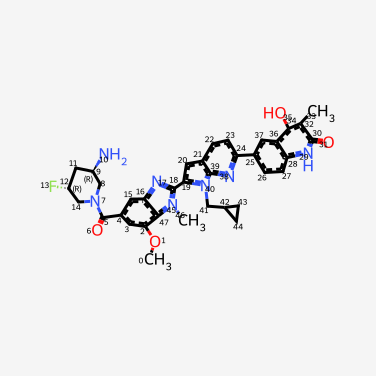 COc1cc(C(=O)N2C[C@H](N)C[C@@H](F)C2)cc2nc(-c3cc4ccc(-c5ccc6[nH]c(=O)c(C)c(O)c6c5)nc4n3CC3CC3)n(C)c12